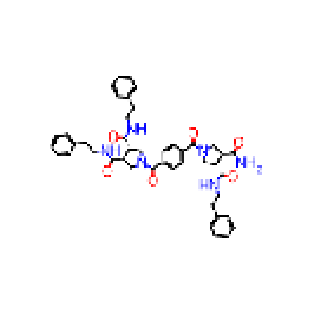 NC(=O)[C@@H]1CN(C(=O)c2ccc(C(=O)N3C[C@@H](C(=O)NCCc4ccccc4)[C@H](C(=O)NCCc4ccccc4)C3)cc2)C[C@H]1C(=O)NCCc1ccccc1